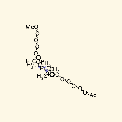 COCCOCCOCCOCCOc1ccc2c(c1)C(C)(C)C(\C=C/C=C\C=C1\N(C)c3ccc(OCCOCCOCCOCCOCCOCCC(C)=O)cc3C1(C)C)=[N+]2C